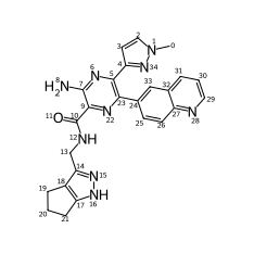 Cn1ccc(-c2nc(N)c(C(=O)NCc3n[nH]c4c3CCC4)nc2-c2ccc3ncccc3c2)n1